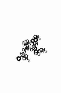 CC[C@@]1(O)C(=O)OCc2c1cc1n(c2=O)Cc2c-1nc1cc(F)c(C)c3c1c2[C@@H](NC(=O)[C@@H](OCNC(=O)CNC(=O)[C@@H](C)Cc1ccccc1)C(F)(F)F)CC3